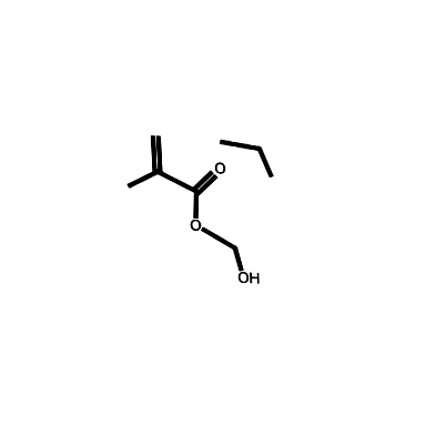 C=C(C)C(=O)OCO.CCC